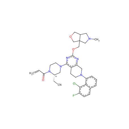 C=CC(=O)N1CCN(c2nc(OCC34COCC3CN(C)C4)nc3c2CCN(c2cccc4ccc(F)c(Cl)c24)C3)C[C@@H]1CC#N